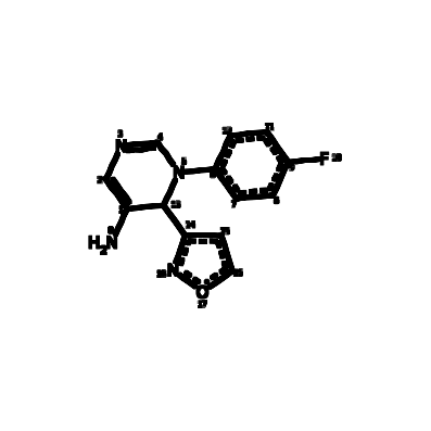 NC1=CN=CN(c2ccc(F)cc2)C1c1ccon1